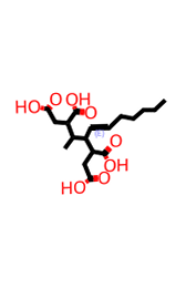 CCCCC/C=C/C(C(CC(=O)O)C(=O)O)C(C)C(CC(=O)O)C(=O)O